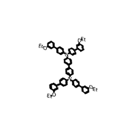 CCOc1cccc(-c2ccc(N(c3ccc(-c4ccc(N(c5ccc(-c6cccc(OCC)c6)cc5)c5ccc(-c6cccc(OCC)c6)cc5)cc4)cc3)c3ccc(-c4cccc(OCC)c4)cc3)cc2)c1